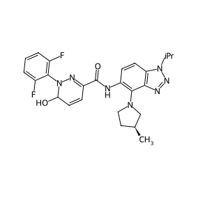 CC(C)n1nnc2c(N3CC[C@H](C)C3)c(NC(=O)C3=NN(c4c(F)cccc4F)C(O)C=C3)ccc21